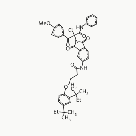 CCC(C)(C)c1ccc(OCCCC(=O)Nc2ccc3c(c2)C(=O)N(C(Cl)(C(=O)Nc2ccccc2)C(=O)c2ccc(OC)cc2)C3=O)c(C(C)(C)CC)c1